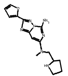 CN(CC1CCCN1)c1cc2nc(-c3ccco3)nn2c(N)n1